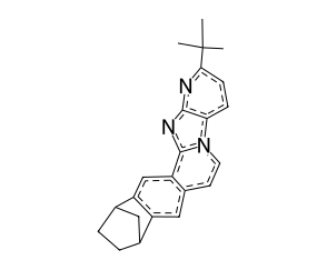 CC(C)(C)c1ccc2c(n1)nc1c3cc4c(cc3ccn21)C1CCC4C1